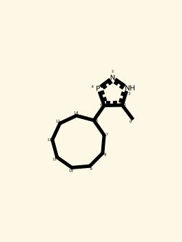 Cc1[nH]npc1C1CCCCCCCC1